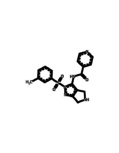 Cc1cccc(S(=O)(=O)n2nc3c(c2NC(=O)c2ccncc2)CNC3)c1